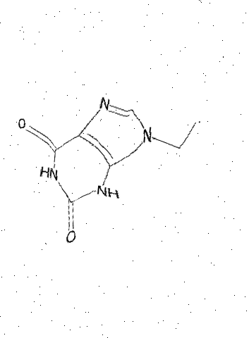 [CH2]Cn1cnc2c(=O)[nH]c(=O)[nH]c21